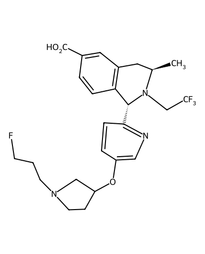 C[C@@H]1Cc2cc(C(=O)O)ccc2[C@@H](c2ccc(OC3CCN(CCCF)C3)cn2)N1CC(F)(F)F